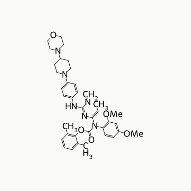 C=N/C(=N\C(=C/C)N(C(=O)Oc1c(C)cccc1C)c1ccc(OC)cc1OC)Nc1ccc(N2CCC(N3CCOCC3)CC2)cc1